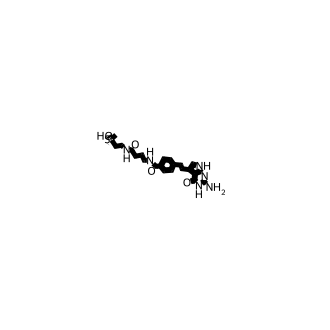 C[Si](C)(O)CCNC(=O)CCCNC(=O)c1ccc(CCc2c[nH]c3nc(N)[nH]c(=O)c23)cc1